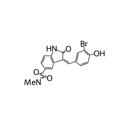 CNS(=O)(=O)c1ccc2c(c1)C(=Cc1ccc(O)c(Br)c1)C(=O)N2